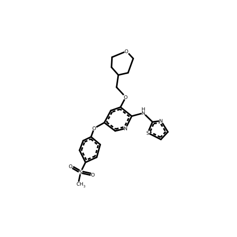 CS(=O)(=O)c1ccc(Oc2cnc(Nc3nccs3)c(OCC3CCOCC3)c2)cc1